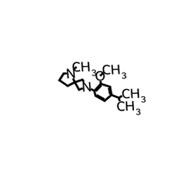 COc1cc(C(C)C)ccc1N1CC2(CCCN2C)C1